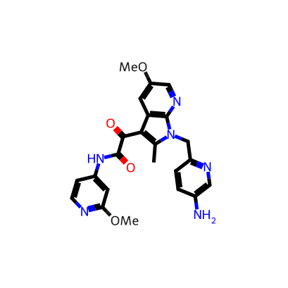 COc1cnc2c(c1)c(C(=O)C(=O)Nc1ccnc(OC)c1)c(C)n2Cc1ccc(N)cn1